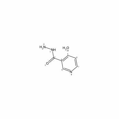 NNC(=O)c1cccnc1.O